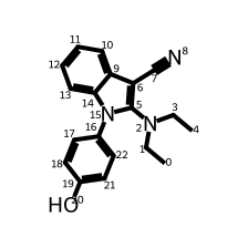 CCN(CC)c1c(C#N)c2ccccc2n1-c1ccc(O)cc1